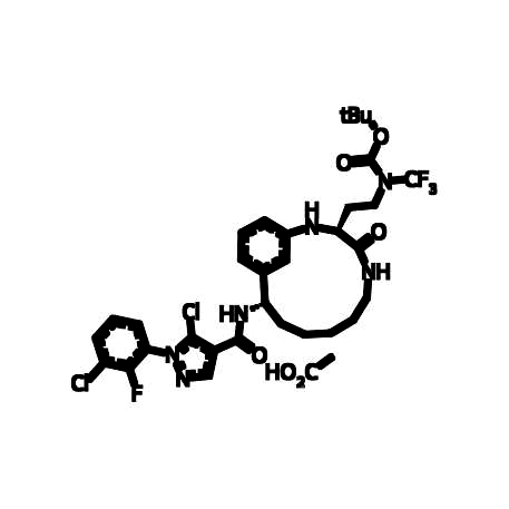 CC(=O)O.CC(C)(C)OC(=O)N(CC[C@@H]1Nc2cccc(c2)[C@@H](NC(=O)c2cnn(-c3cccc(Cl)c3F)c2Cl)CCCCCNC1=O)C(F)(F)F